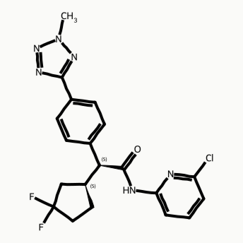 Cn1nnc(-c2ccc([C@@H](C(=O)Nc3cccc(Cl)n3)[C@H]3CCC(F)(F)C3)cc2)n1